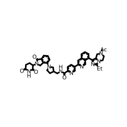 CCc1nc(-c2cccc3cc(-c4ccc(C(=O)NCC5CCN(c6cccc7c6CN(C6CCC(=O)NC6=O)C7=O)C5)nc4)ncc23)c2n1CCN(C(C)=O)C2